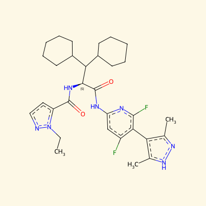 CCn1nccc1C(=O)N[C@H](C(=O)Nc1cc(F)c(-c2c(C)n[nH]c2C)c(F)n1)C(C1CCCCC1)C1CCCCC1